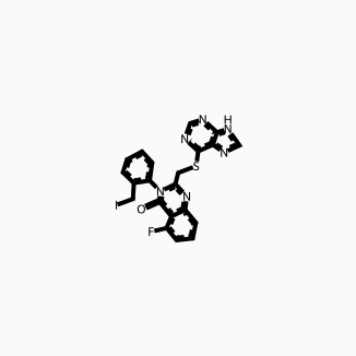 O=c1c2c(F)cccc2nc(CSc2ncnc3[nH]cnc23)n1-c1ccccc1CI